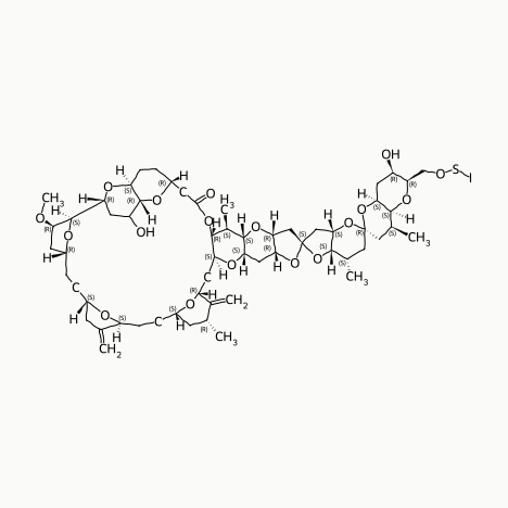 C=C1C[C@@H]2CC[C@@H]3C[C@@H](OC)[C@H](O3)[C@H]3CC(O)[C@H]4O[C@H](CC[C@@H]4O3)CC(=O)O[C@@H]3[C@@H](C)[C@@H]4O[C@@H]5C[C@]6(C[C@@H]7O[C@]8(C[C@H](C)[C@@H]9O[C@H](COSI)[C@H](O)C[C@@H]9O8)C[C@H](C)[C@@H]7O6)O[C@@H]5C[C@@H]4O[C@H]3C[C@H]3O[C@@H](CC[C@@H]1O2)C[C@@H](C)C3=C